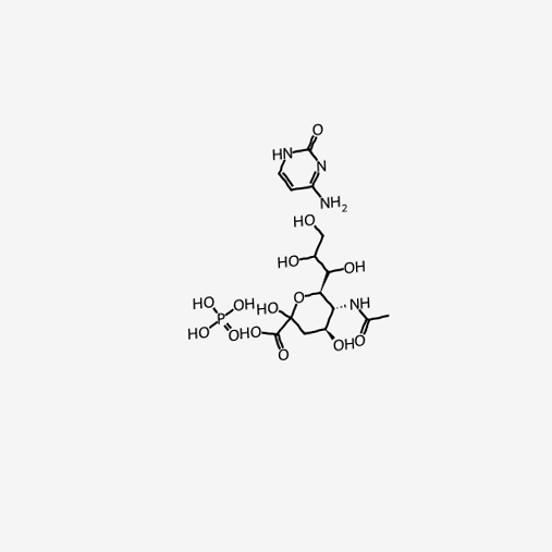 CC(=O)N[C@@H]1[C@@H](O)CC(O)(C(=O)O)O[C@H]1C(O)C(O)CO.Nc1cc[nH]c(=O)n1.O=P(O)(O)O